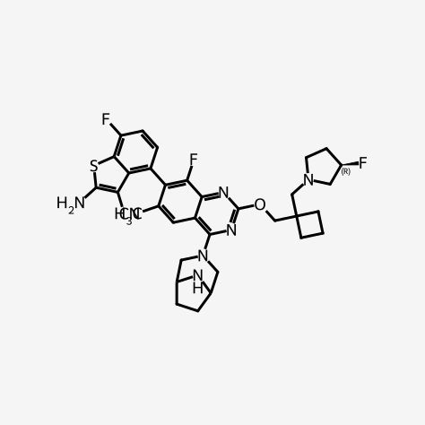 Cc1cc2c(N3CC4CCC(C3)N4)nc(OCC3(CN4CC[C@@H](F)C4)CCC3)nc2c(F)c1-c1ccc(F)c2sc(N)c(C#N)c12